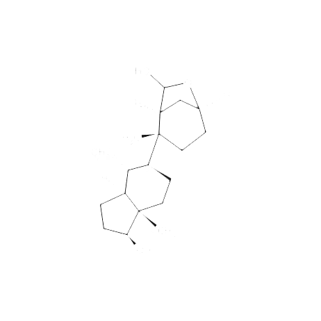 C[C@]1([C@H]2CC[C@]3(C)[C@@H](O)CC[C@H]3[C@@H]2C=O)CC[C@H]2C[C@@H]1C(O)O2